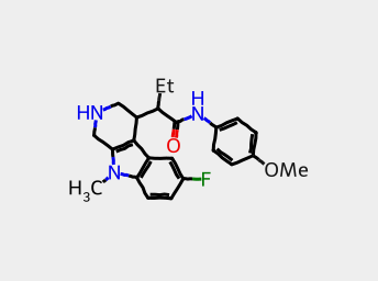 CCC(C(=O)Nc1ccc(OC)cc1)C1CNCc2c1c1cc(F)ccc1n2C